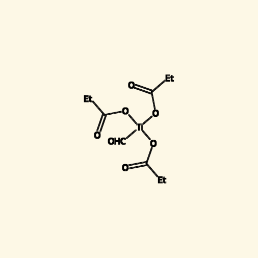 CCC(=O)[O][Ti]([CH]=O)([O]C(=O)CC)[O]C(=O)CC